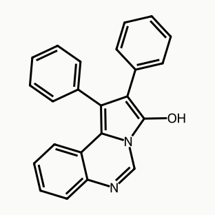 Oc1c(-c2ccccc2)c(-c2ccccc2)c2c3ccccc3ncn12